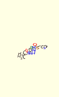 CC(C)CC(=O)Nc1ccc(Cl)c(NC2=NC(=O)/C(=C/c3ccc4ncccc4c3)S2)c1